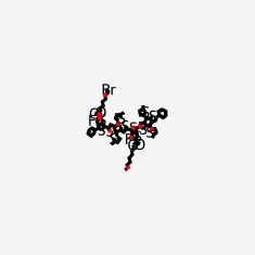 CCCCCCCCOC(=O)c1sc2c(-c3cc4c(-c5ccc(C)s5)c5sc(-c6ccccc6)cc5c(-c5ccc(C)s5)c4s3)sc(-c3cc4c(-c5ccc(C)s5)c5sc(-c6sc(-c7ccccc7)c7c(F)c(C(=O)OCCCCCCBr)sc67)cc5c(-c5ccc(C)s5)c4s3)c2c1F